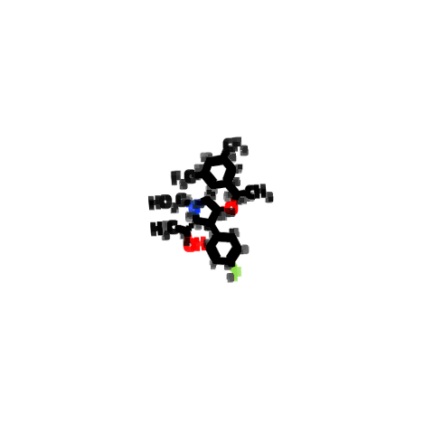 CC(O)[C@H]1[C@H](c2ccc(F)cc2)[C@@H](O[C@H](C)c2cc(C(F)(F)F)cc(C(F)(F)F)c2)CN1C(=O)O